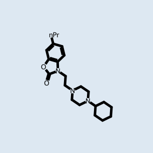 CCCc1ccc2c(c1)oc(=O)n2CCN1CCN(C2CCCCC2)CC1